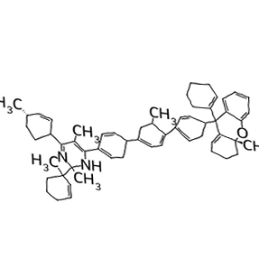 CC1=C(C2=CCC(C3=CC=C(C4=CCC(C5(C6=CCCCC6)C6=CCCC[C@@]6(C)Oc6ccccc65)C=C4)C(C)C3)C=C2)NC(C)(C2(C)C=CCCC2)N=C1C1C=C[C@@H](C)CC1